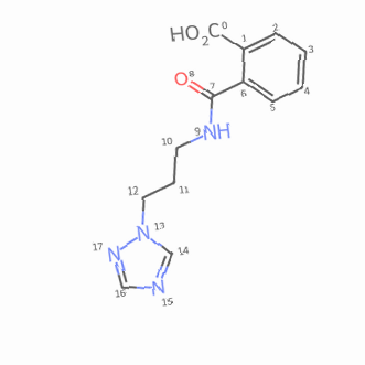 O=C(O)c1ccccc1C(=O)NCCCn1cncn1